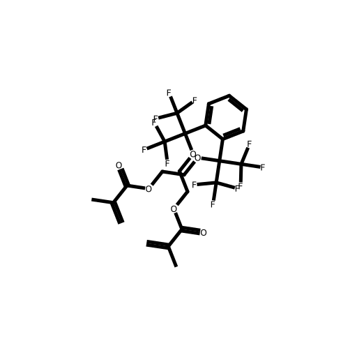 C=C(C)C(=O)OCCOC(c1ccccc1C(OCCOC(=O)C(=C)C)(C(F)(F)F)C(F)(F)F)(C(F)(F)F)C(F)(F)F